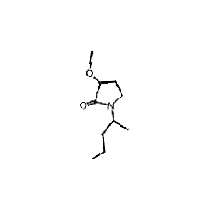 CCCC(C)N1CCC(OC)C1=O